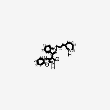 O=C1NC(=O)C(c2cn(CCCC3CCCCNC3)c3ccccc23)=C1Nc1ccccc1